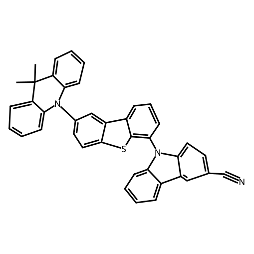 CC1(C)c2ccccc2N(c2ccc3sc4c(-n5c6ccccc6c6cc(C#N)ccc65)cccc4c3c2)c2ccccc21